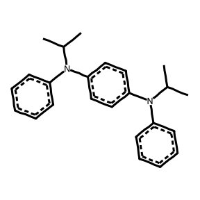 CC(C)N(c1ccccc1)c1ccc(N(c2ccccc2)C(C)C)cc1